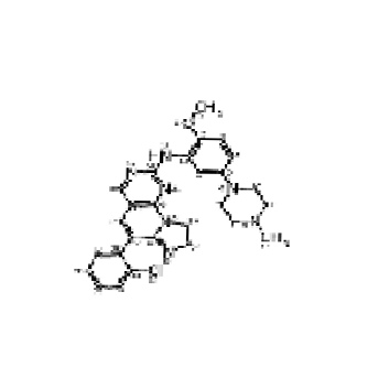 COc1ccc(N2CCN(C)CC2)cc1Nc1ncc2c(n1)N1CCN=C1C(c1ccccc1Cl)=C2